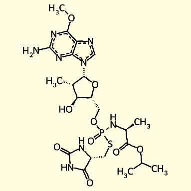 COc1nc(N)nc2c1ncn2[C@@H]1O[C@H](CO[P@@](=O)(N[C@@H](C)C(=O)OC(C)C)SC[C@H]2NC(=O)NC2=O)[C@@H](O)[C@@H]1C